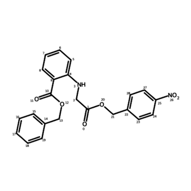 O=C(CNc1ccccc1C(=O)OCc1ccccc1)OCc1ccc([N+](=O)[O-])cc1